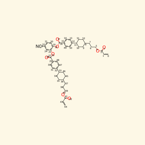 C=CC(=O)OCCCC1CCC(c2ccc(C(=O)Oc3ccc(C#N)cc3OC(=O)c3ccc(C4CCC(CCCOC(=O)C=C)CC4)cc3)cc2)CC1